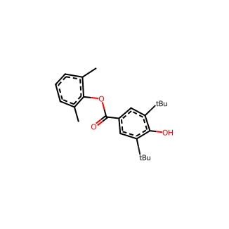 Cc1cccc(C)c1OC(=O)c1cc(C(C)(C)C)c(O)c(C(C)(C)C)c1